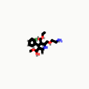 CCOC(=O)C1=C(COCCN)NC(C)=C(C(O)OC)C1c1ccccc1Cl